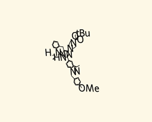 COc1ccc(Cn2nc(C)c3cc(C4=NC(N5CCN(C(=O)OC(C)(C)C)CC5)=C(Cc5ccccc5)N(N)N4)ccc32)cc1